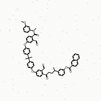 COc1cccc(N(C)C(=O)c2ccc(Oc3ccc(C(C)(C)c4ccc(Oc5ccc(C(=O)CCC(C)c6cccc(OC(=O)c7ccc8ccccc8c7)c6)c(C=O)c5)cc4)cc3)cc2C=O)c1